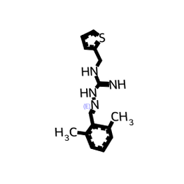 Cc1cccc(C)c1/C=N/NC(=N)NCc1cccs1